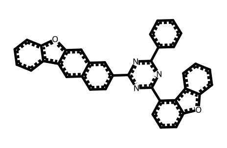 c1ccc(-c2nc(-c3ccc4cc5c(cc4c3)oc3ccccc35)nc(-c3cccc4oc5ccccc5c34)n2)cc1